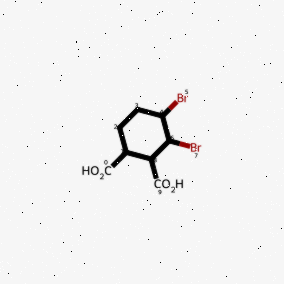 O=C(O)C1CCC(Br)C(Br)C1C(=O)O